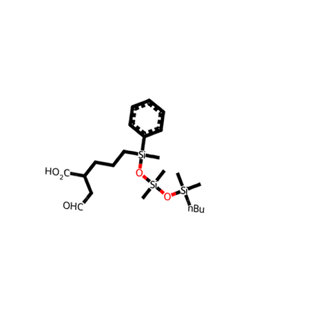 CCCC[Si](C)(C)O[Si](C)(C)O[Si](C)(CCCC(CC=O)C(=O)O)c1ccccc1